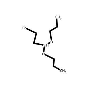 CCCO[SiH](CCBr)OCCC